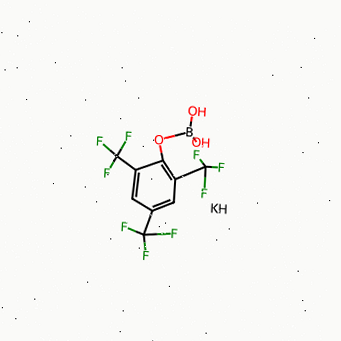 OB(O)Oc1c(C(F)(F)F)cc(C(F)(F)F)cc1C(F)(F)F.[KH]